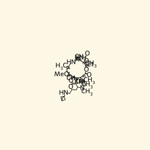 CC[C@H]1OC(=O)[C@H](C)C(=O)[C@H](C)[C@@H](O[C@@H]2OC(CNC34CC(C3)C4)CC(N(C)C)C2O)[C@](C)(OC)C[C@@H](C)CN[C@H](C)[C@H]2NC(=O)O[C@@]21C